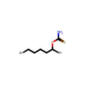 CC(C)CCCCC(OC(N)=S)C(C)C